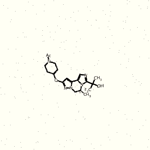 CC(=O)N1CCC(Oc2cc3n(n2)C[C@H](C)n2c-3cnc2C(C)(O)C(F)(F)F)CC1